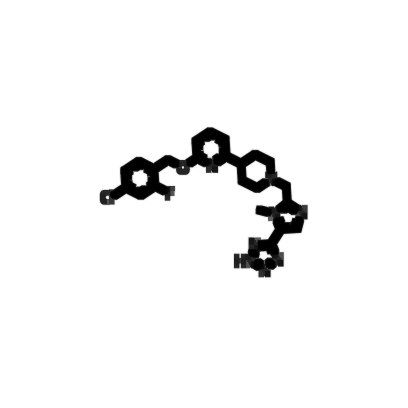 Cn1c(-c2nn[nH]n2)cnc1CN1CCC(c2cccc(OCc3ccc(Cl)cc3F)n2)CC1